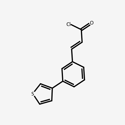 O=C(Cl)/C=C/c1cccc(-c2ccsc2)c1